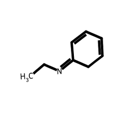 CCN=C1C=CC=CC1